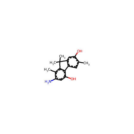 Cc1cc2c(cc1O)C(C)(C)c1c(C)c(N)cc(O)c1-2